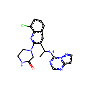 CC(Nc1ncnc2ccnn12)c1cc2cccc(Cl)c2nc1N1CCNC(=O)C1